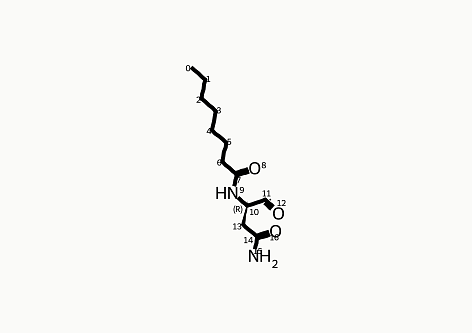 CCCCCCCC(=O)N[C@@H]([C]=O)CC(N)=O